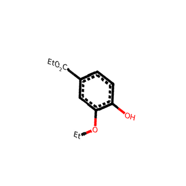 CCOC(=O)c1ccc(O)c(OCC)c1